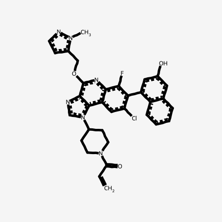 C=CC(=O)N1CCC(n2cnc3c(OCc4ccnn4C)nc4c(F)c(-c5cc(O)cc6ccccc56)c(Cl)cc4c32)CC1